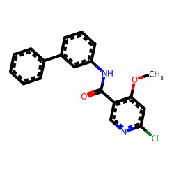 COc1cc(Cl)ncc1C(=O)Nc1cccc(-c2ccccc2)c1